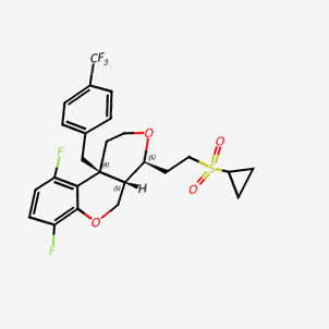 O=S(=O)(CC[C@@H]1OCC[C@@]2(Cc3ccc(C(F)(F)F)cc3)c3c(F)ccc(F)c3OC[C@@H]12)C1CC1